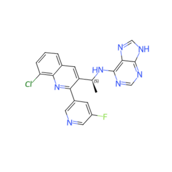 C[C@H](Nc1ncnc2[nH]cnc12)c1cc2cccc(Cl)c2nc1-c1cncc(F)c1